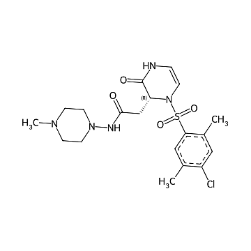 Cc1cc(S(=O)(=O)N2C=CNC(=O)[C@H]2CC(=O)NN2CCN(C)CC2)c(C)cc1Cl